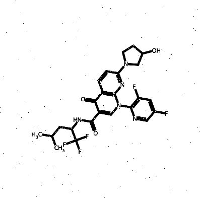 CC(C)CC(NC(=O)c1cn(-c2ncc(F)cc2F)c2nc(N3CCC(O)C3)ccc2c1=O)C(F)(F)F